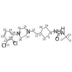 CC(C)(C)NC(=O)NC1CCC(CCN2CCN(c3cccc(Cl)c3Cl)CC2)CC1